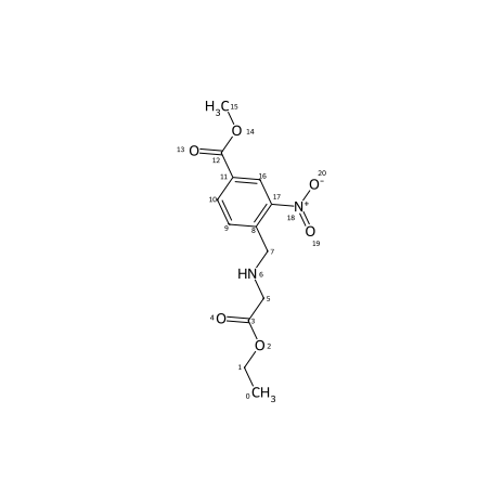 CCOC(=O)CNCc1ccc(C(=O)OC)cc1[N+](=O)[O-]